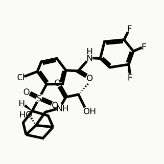 C[C@H](O)C(=O)NC[C@]1(O)C2CC1C[C@@H](S(=O)(=O)c1cc(C(=O)Nc3cc(F)c(F)c(F)c3)ccc1Cl)C2